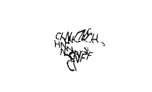 CSN1CCC(n2cc(Nc3ncc4c(Cl)nn(CC(F)(F)F)c4n3)c(Cl)n2)CC1